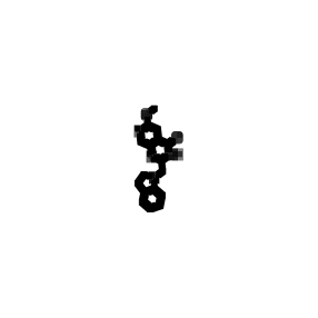 COc1cc2c(=O)[nH]c(CN3CCc4ccccc43)nc2cn1